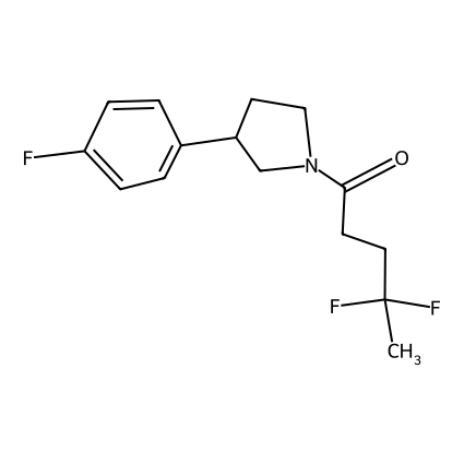 CC(F)(F)CCC(=O)N1CCC(c2ccc(F)cc2)C1